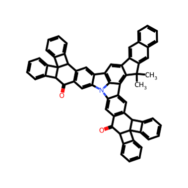 CC1(C)c2cc3ccccc3cc2-c2cc3c4cc5c(cc4n4c6cc7c(cc6c(c21)c34)C1c2ccccc2C12c1ccccc1C2C7=O)C(=O)C1c2ccccc2C12c1ccccc1C52